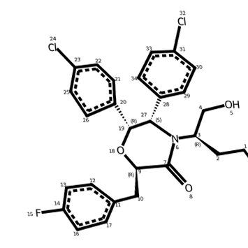 CCC[C@H](CO)N1C(=O)[C@@H](Cc2ccc(F)cc2)O[C@H](c2ccc(Cl)cc2)[C@@H]1c1ccc(Cl)cc1